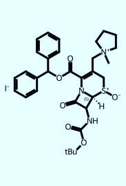 CC(C)(C)OC(=O)NC1C(=O)N2C(C(=O)OC(c3ccccc3)c3ccccc3)=C(C[N+]3(C)CCCC3)C[S+]([O-])[C@@H]12.[I-]